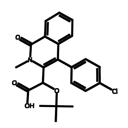 Cn1c(C(OC(C)(C)C)C(=O)O)c(-c2ccc(Cl)cc2)c2ccccc2c1=O